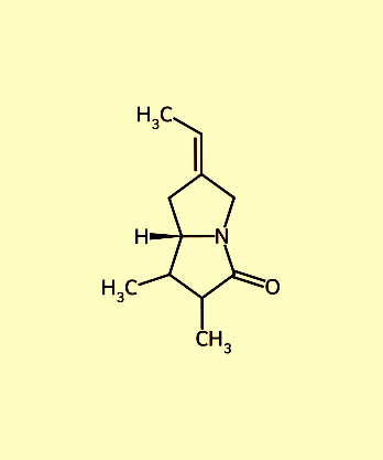 C/C=C1\C[C@H]2C(C)C(C)C(=O)N2C1